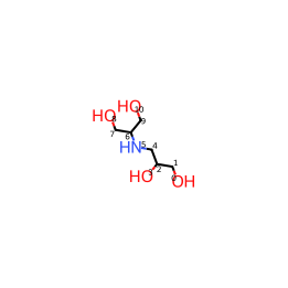 OCC(O)CNC(CO)CO